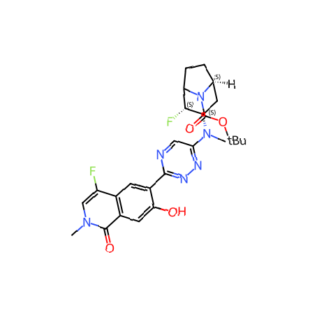 CN(c1cnc(-c2cc3c(F)cn(C)c(=O)c3cc2O)nn1)[C@H]1C[C@@H]2CCC([C@H]1F)N2C(=O)OC(C)(C)C